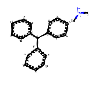 CNC.c1ccc(C(c2ccccc2)c2ccccc2)cc1